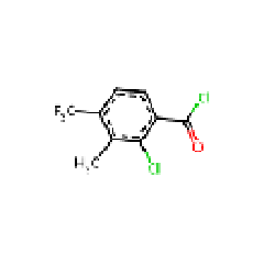 Cc1c(C(F)(F)F)ccc(C(=O)Cl)c1Cl